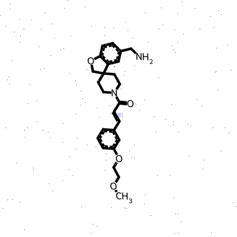 COCCOc1cccc(/C=C/C(=O)N2CCC3(CC2)COc2ccc(CN)cc23)c1